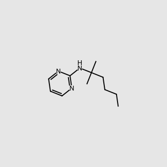 CCCCC(C)(C)Nc1ncccn1